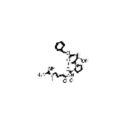 N=C(N)NCCC[C@@H]([C]=O)NC(=O)[C@@H]1CCCN1C(=O)[C@@H](CO)NC(=O)OCc1ccccc1